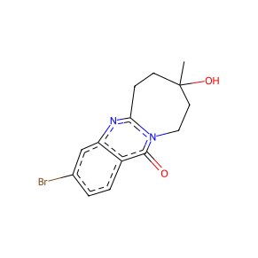 CC1(O)CCc2nc3cc(Br)ccc3c(=O)n2CC1